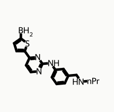 Bc1ccc(-c2ccnc(Nc3cccc(CNCCC)c3)n2)s1